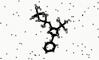 [2H]C([2H])(Cc1nc(-c2ccccc2)oc1C([2H])([2H])[2H])OS(C)(=O)=O